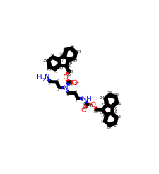 NCCCN(CCCNC(=O)OCC1c2ccccc2-c2ccccc21)C(=O)OCC1c2ccccc2-c2ccccc21